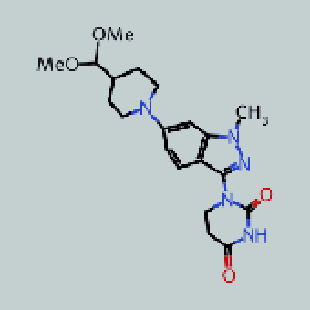 COC(OC)C1CCN(c2ccc3c(N4CCC(=O)NC4=O)nn(C)c3c2)CC1